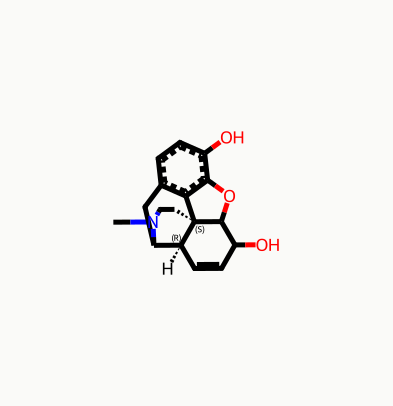 CN1CC[C@]23c4c5ccc(O)c4OC2C(O)C=C[C@H]3C1C5